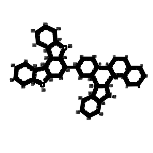 c1ccc2c(c1)ccc1c3ccc(-c4cc5oc6ccccc6c5c5c4oc4ccccc45)cc3n3c4ccccc4nc3c21